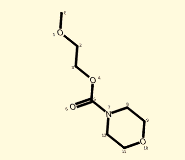 COCCOC(=O)N1CCOCC1